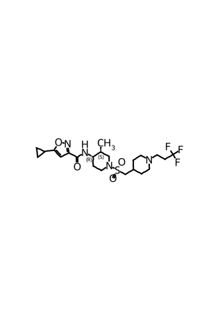 C[C@H]1CN(S(=O)(=O)CC2CCN(CCC(F)(F)F)CC2)CC[C@H]1NC(=O)c1cc(C2CC2)on1